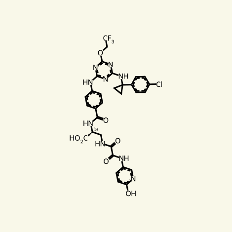 O=C(NC[C@H](NC(=O)c1ccc(Nc2nc(NC3(c4ccc(Cl)cc4)CC3)nc(OCC(F)(F)F)n2)cc1)C(=O)O)C(=O)Nc1ccc(O)nc1